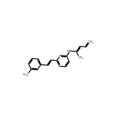 C=C/C=C(\C)Nc1ccnc(/C=C/c2cccc(C)c2)n1